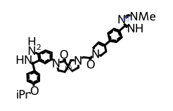 CN/C=N\C(=N)c1ccc(C2=CCN(C(=O)CN3CC[C@]4(CCN(c5ccc(N)c(C(=N)c6ccc(OC(C)C)cc6)c5)C4=O)C3)CC2)cc1